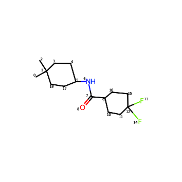 CC1(C)CCC(NC(=O)C2CCC(F)(F)CC2)CC1